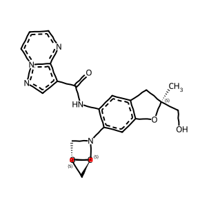 C[C@@]1(CO)Cc2cc(NC(=O)c3cnn4cccnc34)c(N3C[C@@]45C[C@@]34CO5)cc2O1